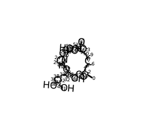 C=CC[C@@H]1/C=C(\C)C[C@H](C)C[C@H](OC)[C@H]2O[C@@](O)(C(=O)C(=O)N3CCCC[C@H]3CO[C@H](/C(C)=C/[C@@H]3CC[C@@H](O)[C@H](CO)C3)[C@H](C)[C@@H](O)CC1=O)[C@H](C)C[C@@H]2C=O